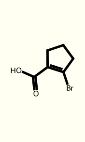 O=C(O)C1=C(Br)CCC1